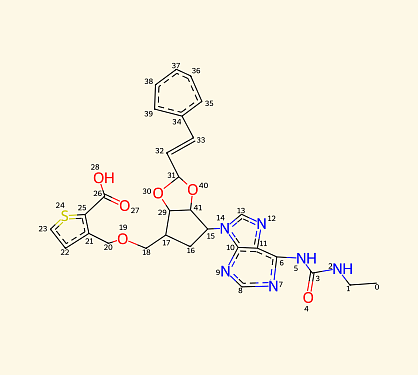 CCNC(=O)Nc1ncnc2c1ncn2C1CC(COCc2ccsc2C(=O)O)C2OC(C=Cc3ccccc3)OC21